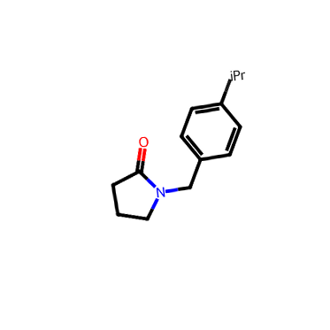 CC(C)c1ccc(CN2CCCC2=O)cc1